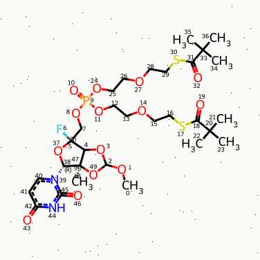 COC1OC2[C@@](F)(COP(=O)(OCCOCCSC(=O)C(C)(C)C)OCCOCCSC(=O)C(C)(C)C)O[C@@H](n3ccc(=O)[nH]c3=O)[C@]2(C)O1